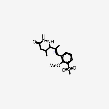 COc1c(/C=C(\C)C2NNC(=O)CC2C)cccc1S(C)(=O)=O